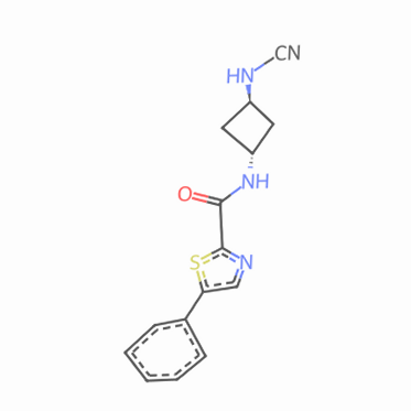 N#CN[C@H]1C[C@H](NC(=O)c2ncc(-c3ccccc3)s2)C1